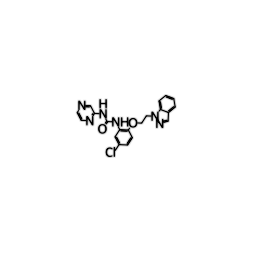 O=C(Nc1cnccn1)Nc1cc(Cl)ccc1OCCn1ncc2ccccc21